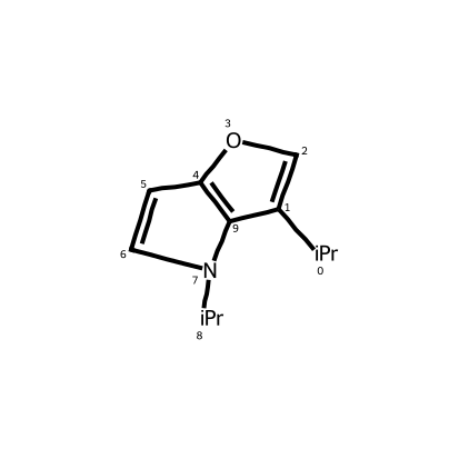 CC(C)c1coc2ccn(C(C)C)c12